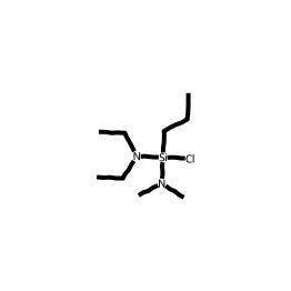 CCC[Si](Cl)(N(C)C)N(CC)CC